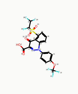 O=C(O)c1nn(-c2ccc(OC(F)(F)F)cc2)c2cccc(S(=O)(=O)C(F)C(F)F)c2c1=O